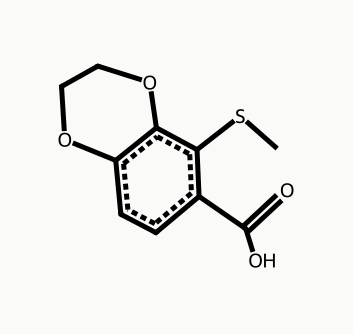 CSc1c(C(=O)O)ccc2c1OCCO2